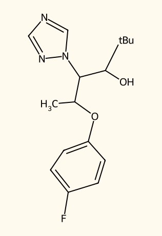 CC(Oc1ccc(F)cc1)C(C(O)C(C)(C)C)n1cncn1